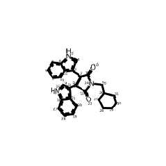 O=C1C(c2c[nH]c3ccccc23)=C(c2c[nH]c3ccccc23)C(=O)N1CC1CCCCC1